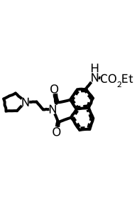 CCOC(=O)Nc1cc2c3c(cccc3c1)C(=O)N(CCN1CCCC1)C2=O